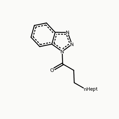 CCCCCCCCCC(=O)n1nnc2ccccc21